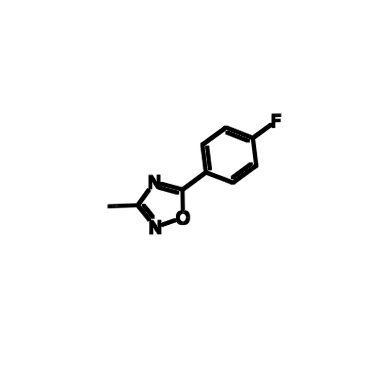 Cc1noc(-c2ccc(F)cc2)n1